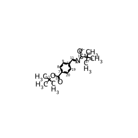 CC(C)(C)OC(=O)c1ccc(C=N[S+]([O-])C(C)(C)C)cc1